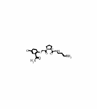 NCCCNC(=O)[C@@H]1CCCN1C(=O)COc1ccc(Cl)cc1C(N)=O